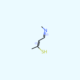 C/N=C\C=C(\C)S